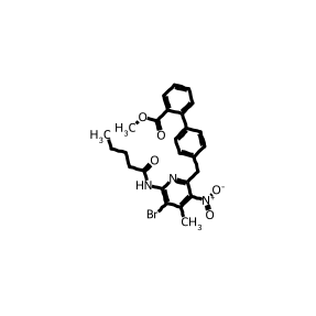 CCCCC(=O)Nc1nc(Cc2ccc(-c3ccccc3C(=O)OC)cc2)c([N+](=O)[O-])c(C)c1Br